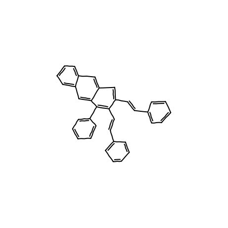 C(=Cc1cc2cc3ccccc3cc2c(-c2ccccc2)c1C=Cc1ccccc1)c1ccccc1